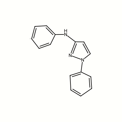 [c]1ccc(Nc2ccn(-c3ccccc3)n2)cc1